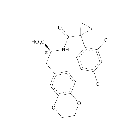 O=C(O)[C@H](Cc1ccc2c(c1)OCCO2)NC(=O)C1(c2ccc(Cl)cc2Cl)CC1